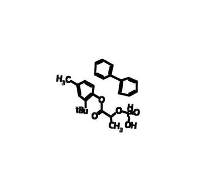 Cc1ccc(OC(=O)C(C)O[PH](=O)O)c(C(C)(C)C)c1.c1ccc(-c2ccccc2)cc1